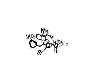 COc1ncnc(C2CC2)c1-c1nc(Cc2ccccc2)c2c(Br)cn(C3=NC(C(C)C)(C(F)(F)F)CN3)c2n1